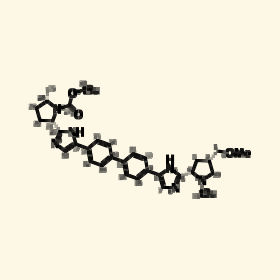 COC[C@H]1C[C@@H](c2ncc(-c3ccc(-c4ccc(-c5cnc([C@@H]6CC[C@H](C)N6C(=O)OC(C)(C)C)[nH]5)cc4)cc3)[nH]2)N(C(C)(C)C)C1